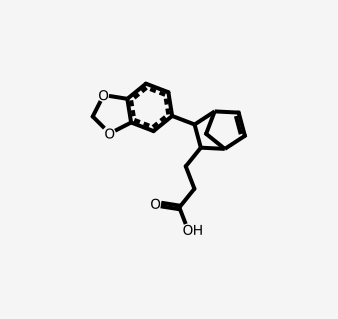 O=C(O)CCC1C2C=CC(C2)C1c1ccc2c(c1)OCO2